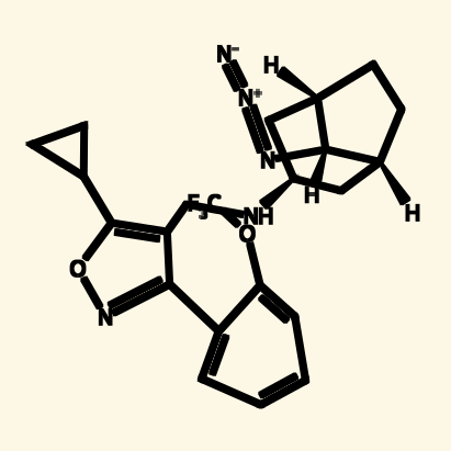 [N-]=[N+]=N[C@H]1[C@@H]2CC[C@H]1C[C@H](NCc1c(-c3ccccc3OC(F)(F)F)noc1C1CC1)C2